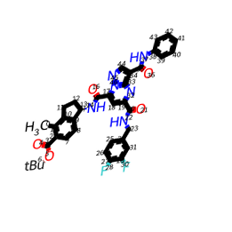 Cc1c(C(=O)OC(C)(C)C)ccc2c1CC[C@@H]2NC(=O)c1cc(C(=O)NCc2ccc(F)c(F)c2)nc2c(C(=O)Nc3ccccc3)cnn12